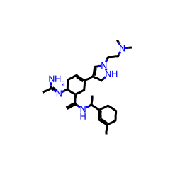 C=C(NC(C)C1=C=C(C)CCC1)C1CC(C2=CN(CCN(C)C)NC2)=CCC1/N=C(/C)N